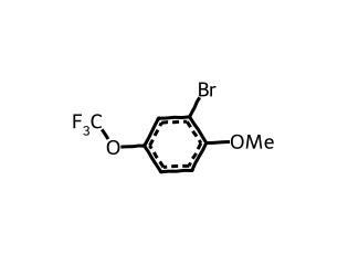 COc1ccc(OC(F)(F)F)cc1Br